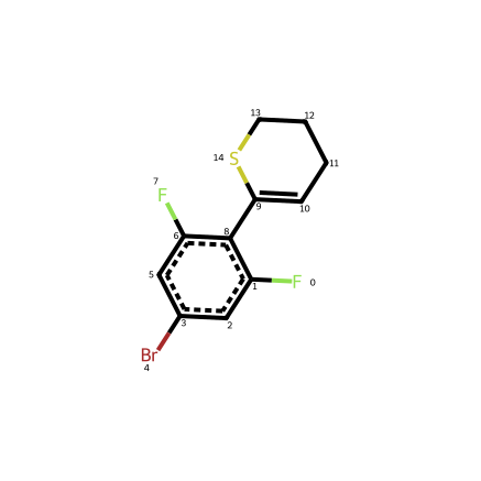 Fc1cc(Br)cc(F)c1C1=CCCCS1